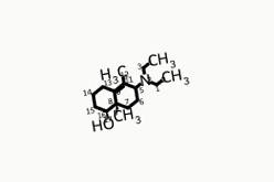 CCN(CC)C1CC[C@@]2(C)C(=C1C)CCC[C@@H]2O